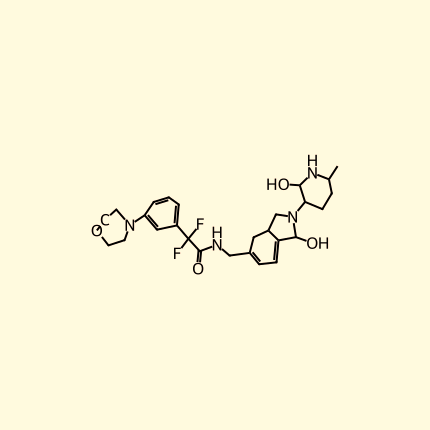 CC1CCC(N2CC3CC(CNC(=O)C(F)(F)c4cccc(N5CCOCC5)c4)=CC=C3C2O)C(O)N1